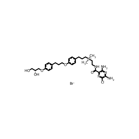 C[N+](C)(CCCc1ccc(OCCCc2ccc(OC[C@H](O)CO)cc2)cc1)CCNC(=O)c1nc(Cl)c(N)nc1N.[Br-]